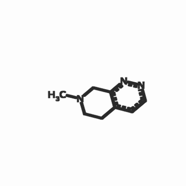 CN1CCc2ccnnc2C1